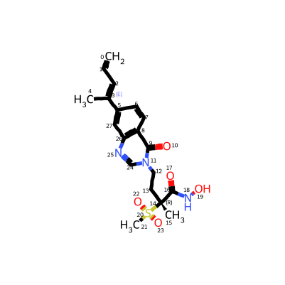 C=C/C=C(\C)c1ccc2c(=O)n(CC[C@](C)(C(=O)NO)S(C)(=O)=O)cnc2c1